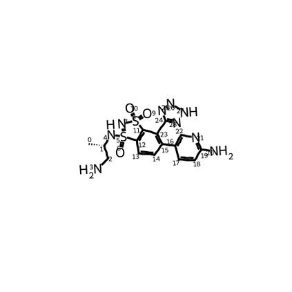 C[C@@H](CN)NS1(=O)=NS(=O)(=O)c2c1ccc(-c1ccc(N)nc1)c2-c1nn[nH]n1